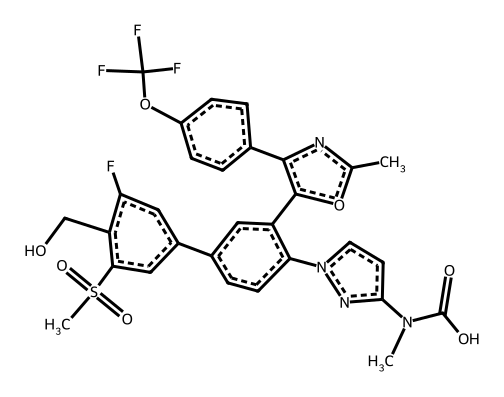 Cc1nc(-c2ccc(OC(F)(F)F)cc2)c(-c2cc(-c3cc(F)c(CO)c(S(C)(=O)=O)c3)ccc2-n2ccc(N(C)C(=O)O)n2)o1